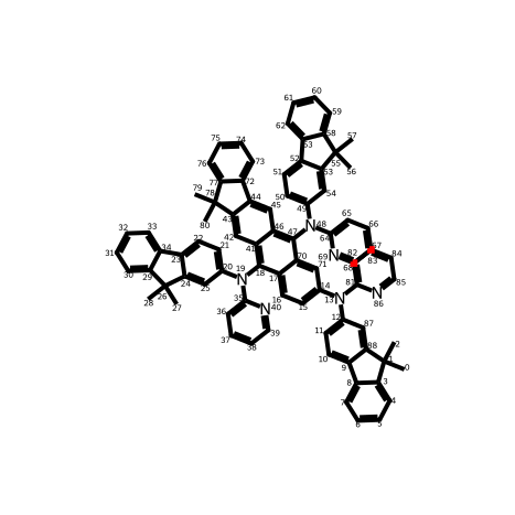 CC1(C)c2ccccc2-c2ccc(N(c3ccc4c(N(c5ccc6c(c5)C(C)(C)c5ccccc5-6)c5ccccn5)c5cc6c(cc5c(N(c5ccc7c(c5)C(C)(C)c5ccccc5-7)c5ccccn5)c4c3)-c3ccccc3C6(C)C)c3ccccn3)cc21